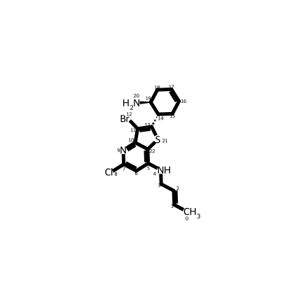 C/C=C/CNc1cc(Cl)nc2c(Br)c([C@H]3CC=CC[C@@H]3N)sc12